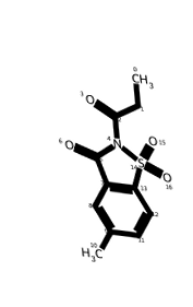 CCC(=O)N1C(=O)c2cc(C)ccc2S1(=O)=O